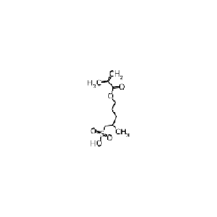 C=C(C)C(=O)OCCCC(C)CS(=O)(=O)O